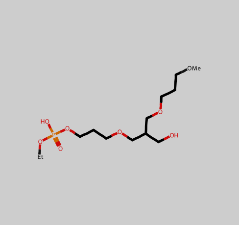 CCOP(=O)(O)OCCCOCC(CO)COCCCOC